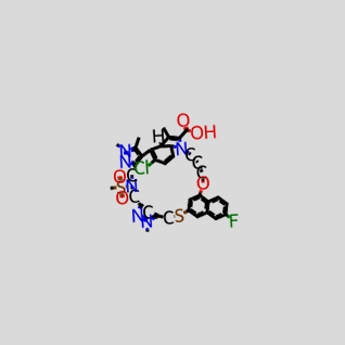 CC1=C(C(=O)O)N2CCCOc3cc(cc4cc(F)ccc34)SCc3cc(nn3C)CN(S(C)(=O)=O)Cc3nn(C)c(C)c3C3=C(Cl)C=CC2[C@H]13